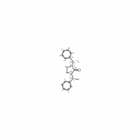 C[C@@H](c1ccccc1)[C@H]1CCN([C@@H](C)c2ccccc2)C1=O